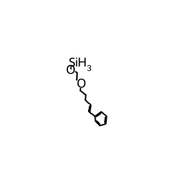 [SiH3]OCCOCCCC=Cc1ccccc1